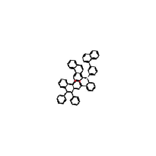 c1ccc(-c2c(-c3ccccc3)c3cc(-c4ccccc4N(c4cccc(-c5cccc6ccccc56)c4)c4cccc5c4ccc4ccccc45)ccc3c3ccccc23)cc1